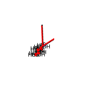 CCCCCCCCCCCCC/C=C/[C@@H](O)[C@H](CO[C@@H]1OC(CO)[C@@H](O[C@@H]2OC(CO)[C@H](O)[C@H](O[C@H]3OC(CO)[C@H](O)[C@H](O)C3O[C@@H]3OC(C)CC(O)[C@@H]3O)C2O)[C@H](O)C1O)NC(=O)CCCCCCCCCCCCCCCCCCCCCCCCC